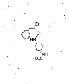 CCC(=Cc1ccccc1)[C@@H]1C[C@H]1N[C@H]1CC[C@@H](NC(=O)O)CC1